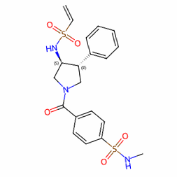 C=CS(=O)(=O)N[C@@H]1CN(C(=O)c2ccc(S(=O)(=O)NC)cc2)C[C@H]1c1ccccc1